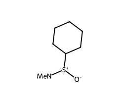 CN[S+]([O-])C1CCCCC1